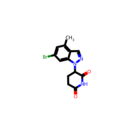 Cc1cc(Br)cc2c1cnn2C1CCC(=O)NC1=O